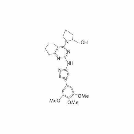 COc1cc(-n2cnc(Nc3nc4c(c(N5CCCC5CO)n3)CCCC4)c2)cc(OC)c1OC